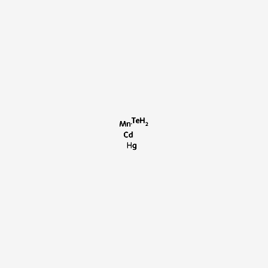 [Cd].[Hg].[Mn].[TeH2]